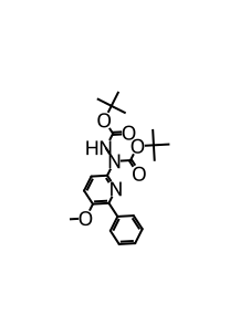 COc1ccc(N(NC(=O)OC(C)(C)C)C(=O)OC(C)(C)C)nc1-c1ccccc1